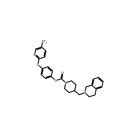 O=C(Oc1ccc(Oc2ccc(C(F)(F)F)cn2)cc1)N1CCC(CN2CCc3ccccc3C2)CC1